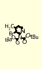 Cc1ccnc(N(C(=O)OC(C)(C)C)C(=O)OC(C)(C)C)c1Br